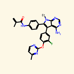 C=C(C)C(=O)Nc1ccc(-c2c(-c3ccc(Oc4nccc(C)n4)c(F)c3)c3c(N)ncnc3n2CC)cc1